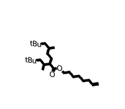 C=CCCCCCCOC(=O)C(CCC(C)CC(C)(C)C)C(C)CC(C)(C)C